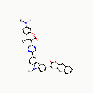 CCN(CC)c1ccc2c(C)c(-c3cnc(-c4ccc5c(c4)c4cc(-c6cc7cc8ccccc8cc7oc6=O)ccc4n5C)cn3)c(=O)oc2c1